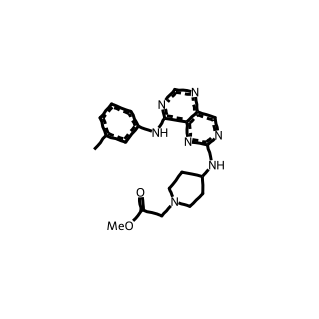 COC(=O)CN1CCC(Nc2ncc3ncnc(Nc4cccc(C)c4)c3n2)CC1